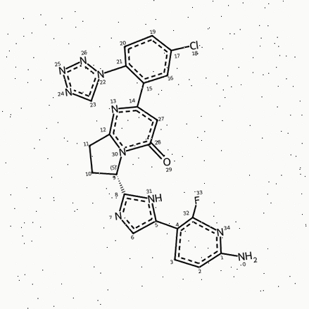 Nc1ccc(-c2cnc([C@@H]3CCc4nc(-c5cc(Cl)ccc5-n5cnnn5)cc(=O)n43)[nH]2)c(F)n1